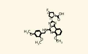 COc1ccc(CNc2nc3c(OC)cccc3c3nc([C@@H]4C[C@@H](F)CN4C(=O)O)nn23)c(OC)c1